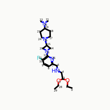 CCOC(CNCc1ccc(F)c(N2CC(N3CCC(N(C)C)CC3)C2)n1)OCC